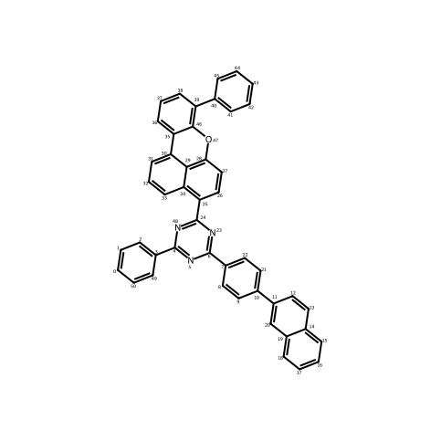 c1ccc(-c2nc(-c3ccc(-c4ccc5ccccc5c4)cc3)nc(-c3ccc4c5c(cccc35)-c3cccc(-c5ccccc5)c3O4)n2)cc1